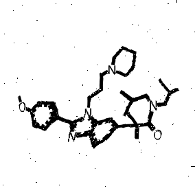 COc1ccc(-c2nc3ccc(C(C)(C)C(=O)N(CC(C)C)CC(C)C)cc3n2CCCN2CCCCC2)cc1